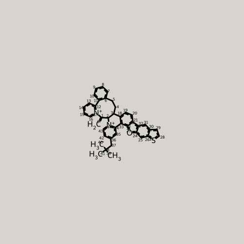 C=C1C2C(CCc3ccccc3-c3cccc[n+]31)c1ccc3c(oc4cc5sccc5cc43)c1-c1cc(CC(C)(C)C)cc[n+]12